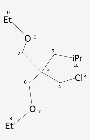 CCOCC(CCl)(COCC)CC(C)C